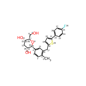 Cc1ccc([C@@H]2O[C@H](CO)[C@@H](O)C[C@H]2O)cc1Cc1ccc(-c2ccc(F)cc2)s1